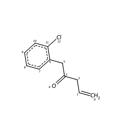 C=CCC(=O)Cc1ccccc1Cl